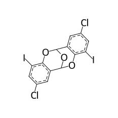 Clc1cc(I)c2c(c1)C1Oc3c(I)cc(Cl)cc3C(O2)O1